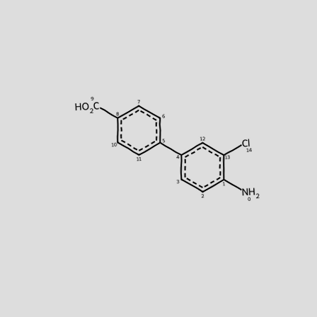 Nc1ccc(-c2ccc(C(=O)O)cc2)cc1Cl